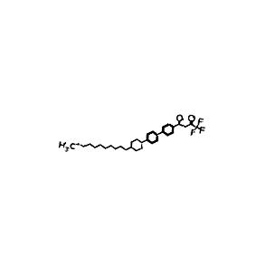 CCCCCCCCCCCC1CCC(c2ccc(-c3ccc(C(=O)CC(=O)C(F)(F)F)cc3)cc2)CC1